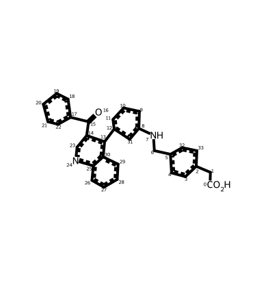 O=C(O)Cc1ccc(CNc2cccc(-c3c(C(=O)c4ccccc4)cnc4ccccc34)c2)cc1